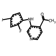 CC(=O)c1ccncc1Nc1ccc(I)cc1F